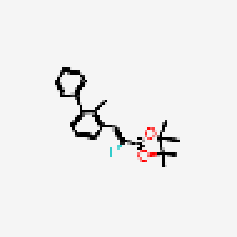 Cc1c(/C=C(\F)B2OC(C)(C)C(C)(C)O2)cccc1-c1ccccc1